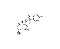 Cc1ccc(S(=O)(=O)O[C@@H]2CNC3[C@@H](O)CO[C@@H]32)cc1